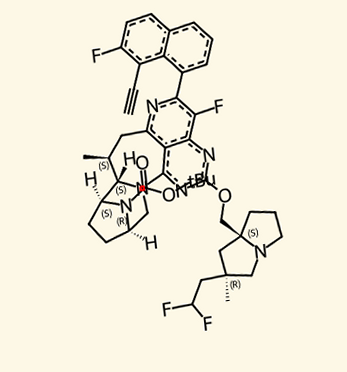 C#Cc1c(F)ccc2cccc(-c3nc4c5c(nc(OC[C@@]67CCCN6C[C@@](C)(CC(F)F)C7)nc5c3F)N3C[C@H]5CC[C@@H]([C@@H]3[C@@H](C)C4)N5C(=O)OC(C)(C)C)c12